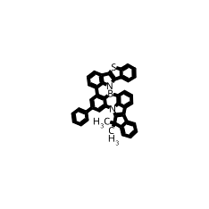 CC1(C)c2ccccc2-c2c1n1c3c(cccc23)B2c3c(cc(-c4ccccc4)cc3-1)-c1cccc3c4sc5ccccc5c4n2c13